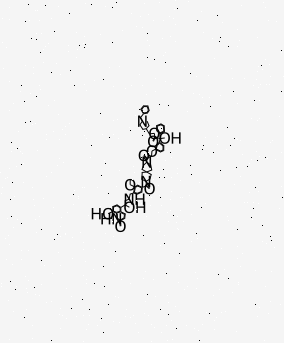 COc1cc(C(=O)N2CCC3(CCN(C(=O)COc4cccc(C(O)(C(=O)OCC5CCN(Cc6ccccc6)CC5)c5ccccc5)c4)CC3)CC2)ccc1CNCC(O)c1ccc(O)c2[nH]c(=O)ccc12